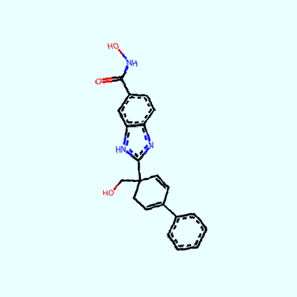 O=C(NO)c1ccc2nc(C3(CO)C=CC(c4ccccc4)=CC3)[nH]c2c1